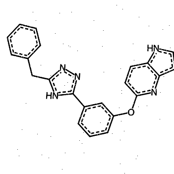 c1ccc(Cc2nnc(-c3cccc(Oc4ccc5[nH]ccc5n4)c3)[nH]2)cc1